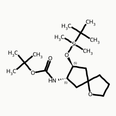 CC(C)(C)OC(=O)N[C@H]1CC2(CCCO2)C[C@@H]1O[Si](C)(C)C(C)(C)C